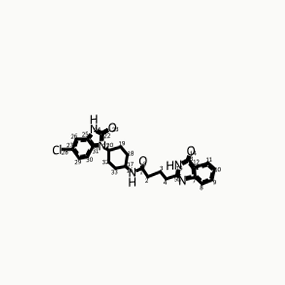 O=C(CCCc1nc2ccccc2c(=O)[nH]1)NC1CCC(n2c(=O)[nH]c3cc(Cl)ccc32)CC1